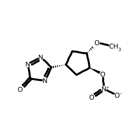 CO[C@H]1C[C@@H](C2=NC(=O)N=N2)C[C@@H]1O[N+](=O)[O-]